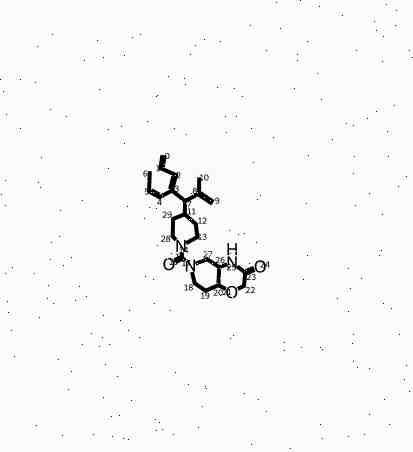 C=C/C=C(\C=C/C)C(C(=C)C)C1CCN(C(=O)N2CCC3OCC(=O)NC3C2)CC1